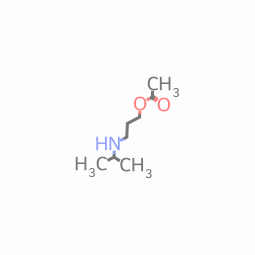 CC(=O)OCCCNC(C)C